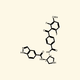 COc1ccc(F)c(C(=O)c2ccc(C(=O)N[C@@H]3CNC[C@H]3NC(=O)c3ccc4[nH]ncc4c3)cc2)c1F